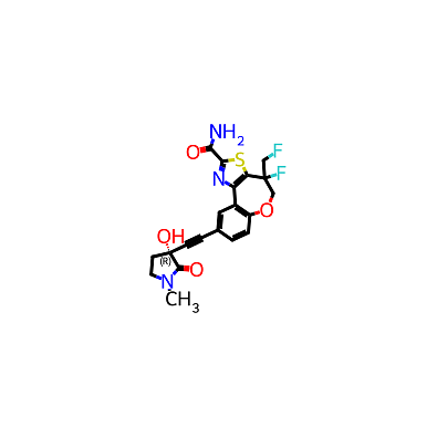 CN1CC[C@@](O)(C#Cc2ccc3c(c2)-c2nc(C(N)=O)sc2C(F)(CF)CO3)C1=O